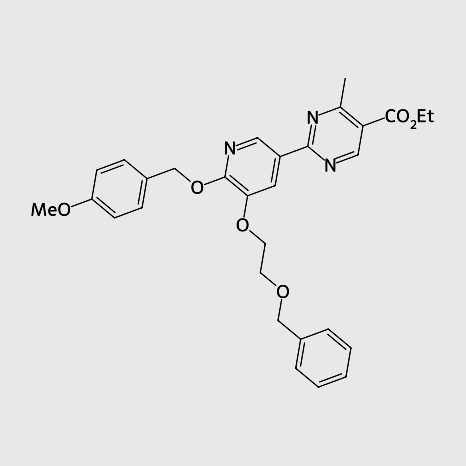 CCOC(=O)c1cnc(-c2cnc(OCc3ccc(OC)cc3)c(OCCOCc3ccccc3)c2)nc1C